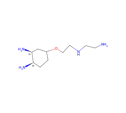 NCCNCCOC1CC[C@@H](N)[C@@H](N)C1